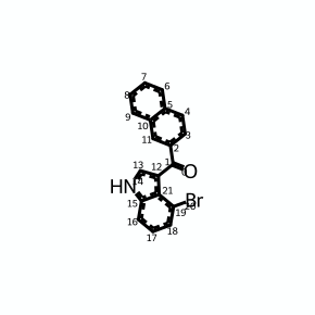 O=C(c1ccc2ccccc2c1)c1c[nH]c2cccc(Br)c12